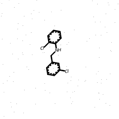 Clc1cccc(CNc2ccccc2Cl)c1